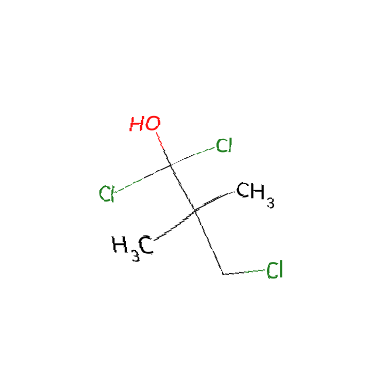 CC(C)(CCl)C(O)(Cl)Cl